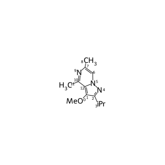 COc1c(C(C)C)nn2cc(C)nc(C)c12